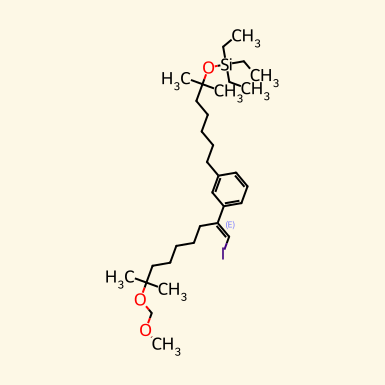 CC[Si](CC)(CC)OC(C)(C)CCCCCc1cccc(/C(=C/I)CCCCCC(C)(C)OCOC)c1